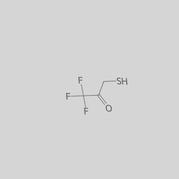 O=C(CS)C(F)(F)F